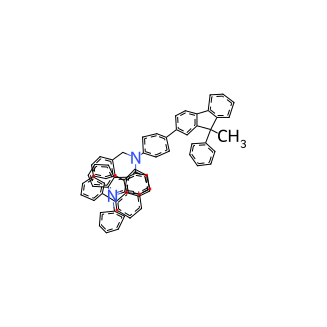 CC1(c2ccccc2)c2ccccc2-c2ccc(-c3ccc(N(Cc4ccccc4-c4cccc5cccc(-c6ccccc6)c45)c4cccc5c4c4ccccc4n5-c4ccccc4)cc3)cc21